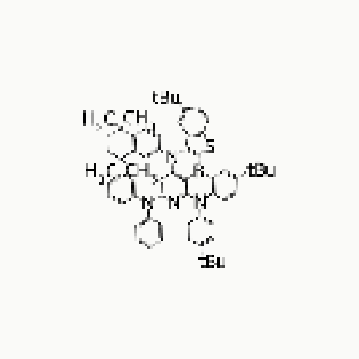 CC(C)(C)c1ccc(N2c3ccc(C(C)(C)C)cc3B3c4sc5ccc(C(C)(C)C)cc5c4N(c4ccc5c(c4)C(C)(C)CCC5(C)C)c4cc(N(c5ccccc5)c5ccccc5)nc2c43)cc1